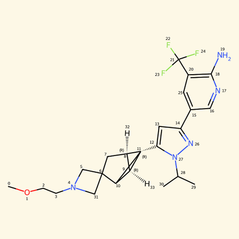 COCCN1CC2(C[C@@H]3[C@@H]4C2[C@@]34c2cc(-c3cnc(N)c(C(F)(F)F)c3)nn2C(C)C)C1